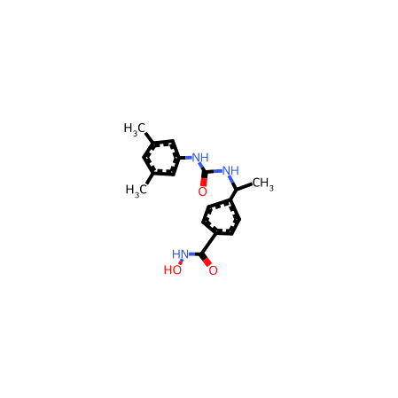 Cc1cc(C)cc(NC(=O)NC(C)c2ccc(C(=O)NO)cc2)c1